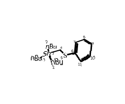 CCC[CH2][Sn]([CH2]CCC)([CH2]CCC)[CH2]Sc1ccccc1